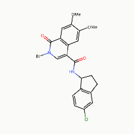 CCn1cc(C(=O)NC2CCc3cc(Cl)ccc32)c2cc(OC)c(OC)cc2c1=O